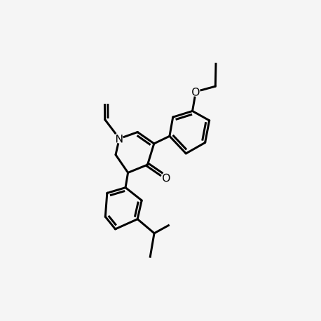 C=CN1C=C(c2cccc(OCC)c2)C(=O)C(c2cccc(C(C)C)c2)C1